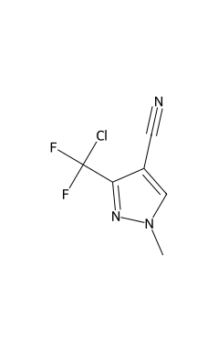 Cn1cc(C#N)c(C(F)(F)Cl)n1